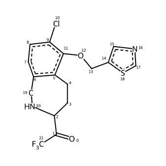 O=C(C1CCc2c(ccc(Cl)c2OCc2cncs2)CN1)C(F)(F)F